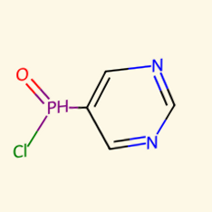 O=[PH](Cl)c1cncnc1